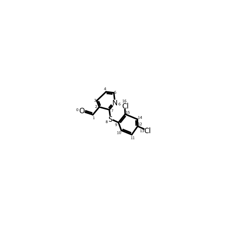 O=Cc1cccnc1Sc1ccc(Cl)cc1Cl